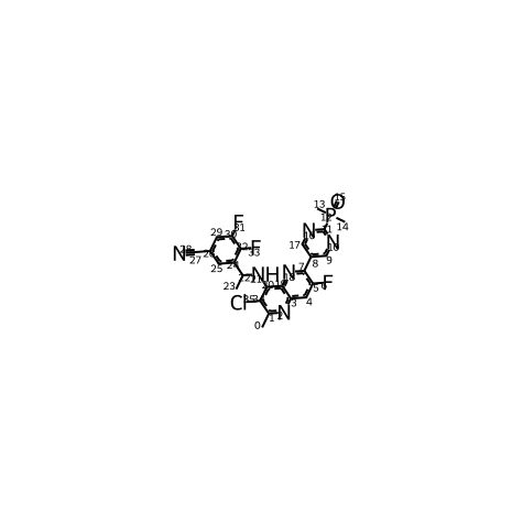 Cc1nc2cc(F)c(-c3cnc(P(C)(C)=O)nc3)nc2c(NC(C)c2cc(C#N)cc(F)c2F)c1Cl